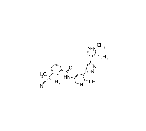 Cc1ncc(NC(=O)c2cccc(C(C)(C)C#N)c2)cc1-n1cc(-c2cnn(C)c2C)nn1